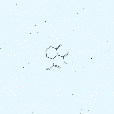 O=C(O)[C@@H]1COCC(=O)N1C(=O)O